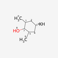 CC1CCCC(C)C1O.[KH]